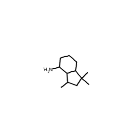 CC1CC(C)(C)C2CCCC(N)C12